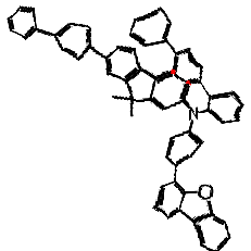 CC1(C)c2cc(-c3ccc(-c4ccccc4)cc3)ccc2-c2ccc(N(c3ccc(-c4cccc5c4oc4ccccc45)cc3)c3ccccc3-c3ccc(-c4ccccc4)cc3)cc21